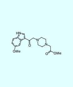 COC(=O)CN1CCN(CC(=O)c2c[nH]c3ccc(OC)cc23)CC1